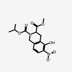 COC(=O)C1Cc2c(ccc([N+](=O)[O-])c2O)CN1C(=O)OC(C)C